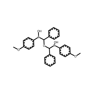 COc1ccc(B(O)C(OC(B(O)c2ccc(OC)cc2)c2ccccc2)c2ccccc2)cc1